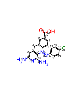 Nc1cc(Cc2cccc(C(=O)O)c2)c(/N=N/c2ccc(Cl)cc2)c(N)n1